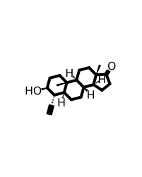 C#C[C@@H]1[C@@H](O)CC[C@@]2(C)[C@H]1CC[C@@H]1[C@@H]2CC[C@]2(C)C(=O)CC[C@@H]12